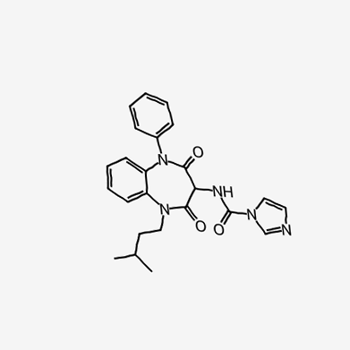 CC(C)CCN1C(=O)C(NC(=O)n2ccnc2)C(=O)N(c2ccccc2)c2ccccc21